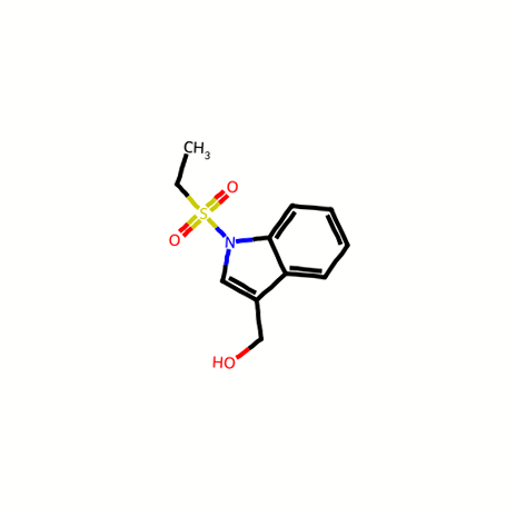 CCS(=O)(=O)n1cc(CO)c2ccccc21